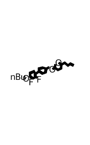 C=CCCC1CCC(OCc2ccc(-c3ccc(OCCCC)c(F)c3F)cc2)CO1